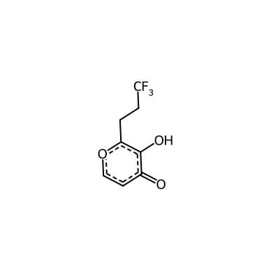 O=c1ccoc(CCC(F)(F)F)c1O